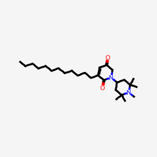 CCCCCCCCCCCCC1=CC(=O)CN(C2CC(C)(C)N(C)C(C)(C)C2)C1=O